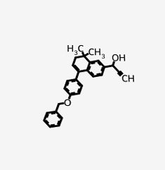 C#CC(O)c1ccc2c(c1)C(C)(C)CC=C2c1ccc(OCc2ccccc2)cc1